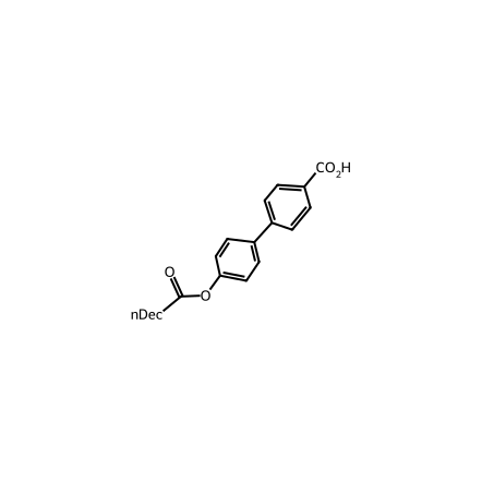 CCCCCCCCCCC(=O)Oc1ccc(-c2ccc(C(=O)O)cc2)cc1